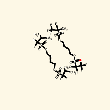 CC(C)C(F)(F)S(=O)(=O)OCCCCOS(=O)(=O)C(F)(F)C(C)C.CC(F)(C(F)(F)F)S(=O)(=O)OCCCCOS(=O)(=O)C(C)(F)C(F)(F)F